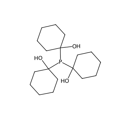 OC1(P(C2(O)CCCCC2)C2(O)CCCCC2)CCCCC1